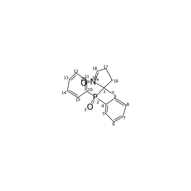 CC1(P(=O)(c2ccccc2)c2ccccc2)CCC=[N+]1[O-]